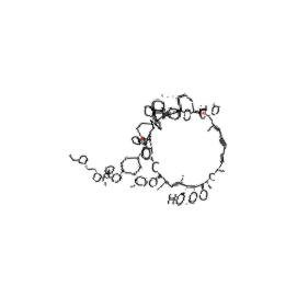 CCOCCOP(C)(=O)O[C@@H]1CC[C@@H](CC2C3CC(=O)[C@H](C)/C=C(\C)[C@@H](O)[C@@H](OC)C(=O)[C@H](C)CC(C)/C=C/C=C/C=C(\C)[C@@H](OC)C[C@@H]4CC[C@@H](C)[C@@](O)(O4)C(=O)C(=O)N4CCC[C@H]2C4C(=O)O3)C[C@H]1OC